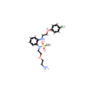 CCCS(=O)(=O)N(CCOCCN)c1ccccc1NCCOc1ccc(Cl)cc1